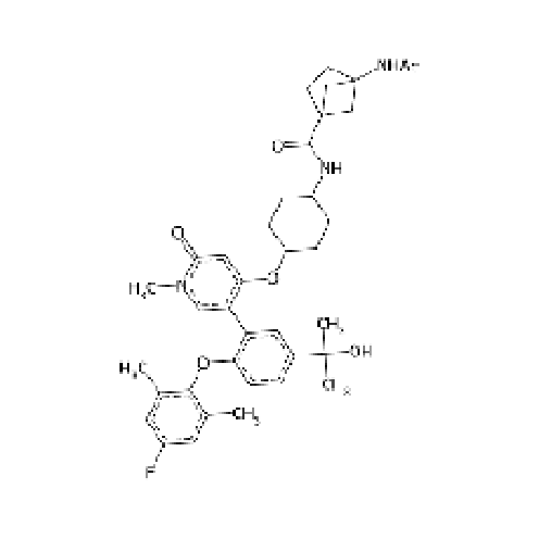 CC(=O)NC12CCC(C(=O)NC3CCC(Oc4cc(=O)n(C)cc4-c4cc(C(C)(C)O)ccc4Oc4c(C)cc(F)cc4C)CC3)(C1)C2